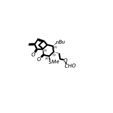 C=C1C=C2C[C@]3(C1=O)C(=O)[C@H](SC)[C@@H](CCOC=O)[C@@H](CCCC)C23